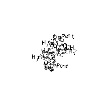 CCCCCc1cc2c(c3c1C(=O)OC(C)(C)O3)-c1cc(CCC3(C)Oc4cc(CCCCC)c5c(c4-c4cc(C)ccc43)OCOC5=O)ccc1C(C)(C)O2